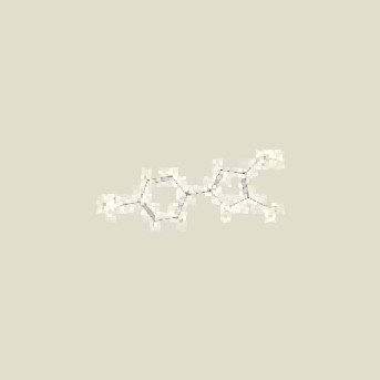 CCCCc1cc(-c2ccc(C(F)(F)F)cc2)oc1CC